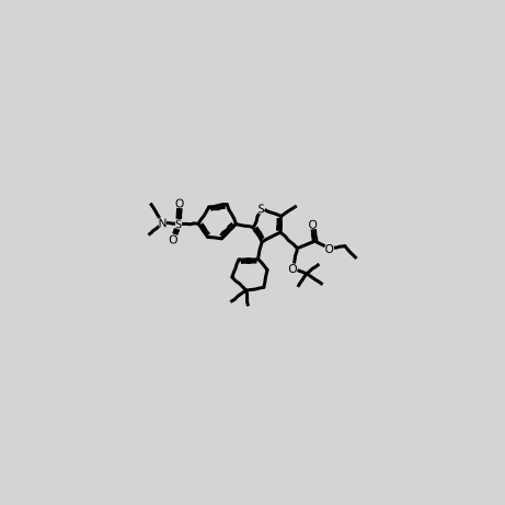 CCOC(=O)C(OC(C)(C)C)c1c(C)sc(-c2ccc(S(=O)(=O)N(C)C)cc2)c1C1=CCC(C)(C)CC1